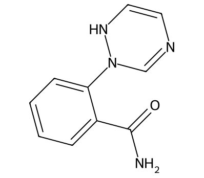 NC(=O)c1ccccc1N1C=NC=CN1